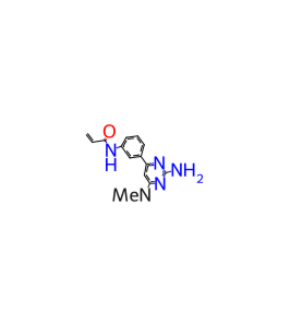 C=CC(=O)Nc1cccc(-c2cc(NC)nc(N)n2)c1